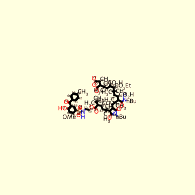 CCCCNC(=O)C(C(CC(C)(C)C(C(=O)OCC)C(CC(C)(C)C1C(=O)OC(=O)C1C)C(=O)O)C(=O)O)C(C)(C)CC1C(=O)N(CCCC)C(=O)C1C(C)(C)CC(C(=O)O)C(C(=O)OCCNS(=O)(=O)c1cc(C(=O)c2ccc(C)cc2)c(O)cc1OC)C(C)(C)CC